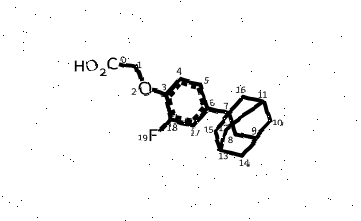 O=C(O)COc1ccc(C23CC4CC(CC(C4)C2)C3)cc1F